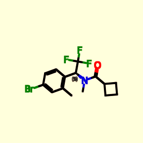 Cc1cc(Br)ccc1[C@H](N(C)C(=O)C1CCC1)C(F)(F)F